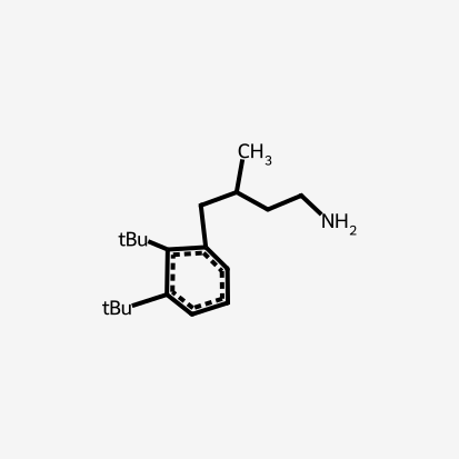 CC(CCN)Cc1cccc(C(C)(C)C)c1C(C)(C)C